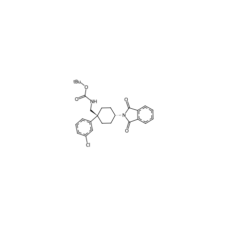 CC(C)(C)OC(=O)NC[C@]1(c2cccc(Cl)c2)CC[C@@H](N2C(=O)c3ccccc3C2=O)CC1